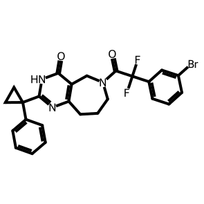 O=C(N1CCCc2nc(C3(c4ccccc4)CC3)[nH]c(=O)c2C1)C(F)(F)c1cccc(Br)c1